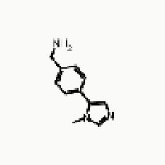 Cn1cncc1-c1ccc(CN)cc1